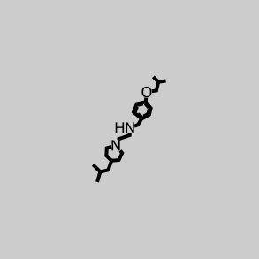 CC(C)COc1ccc(CNCCN2CCC(CC(C)C)CC2)cc1